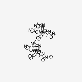 COc1ccncc1-c1cc2c(cnn2-c2cc3c(c(N4CC5(CCC(Cc6nc(-c7cnccc7OC)cc7c6cnn7-c6cc7c(c(N8CC9(CCCO9)C8)n6)c(C)c(C(=O)N6CCOCC6)n7C)O5)C4)n2)c(C)c(C(=O)N(C)C)n3C)c(C)n1